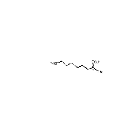 CCCCCCCCCCCCCC[C@H](OC(C)=O)C(=O)O